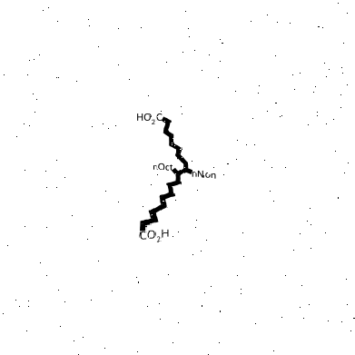 CCCCCCCCCC(CCCCCCCC(=O)O)C(CCCCCCCC)CCCCCCCCC(=O)O